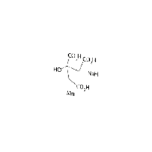 O=C(O)CC(O)(CC(=O)O)C(=O)O.[Mn].[NaH]